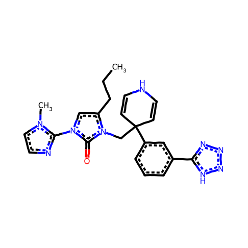 CCCc1cn(-c2nccn2C)c(=O)n1CC1(c2cccc(-c3nnn[nH]3)c2)C=CNC=C1